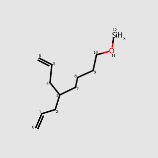 C=CCC(CC=C)CCCCO[SiH3]